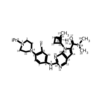 CC(C)N1CCN(c2ccc(Nc3ncc4cc(C(=O)N(C)C)n(C56CC(C5)[C@H]6C)c4n3)cc2F)CC1